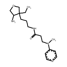 CCC1(CCCNC(=O)CCN(C)c2ccncc2)COCC1N